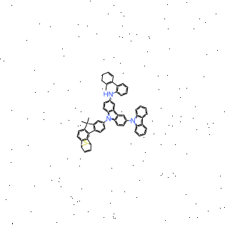 CC1=C(c2ccccc2Nc2ccc3c(c2)c2cc(-n4c5ccccc5c5ccccc54)ccc2n3-c2ccc3c(c2)C(C)(C)c2ccc4c(c2-3)C2C=CC4S2)C=CCC1